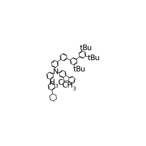 CC(C)(C)c1cc(-c2cccc(-c3cccc(N(c4cccc(-c5ccc(C6CCCCC6)cc5)c4)c4ccc5c(c4)C(C)(C)c4ccccc4-5)c3)c2)cc(-c2cc(C(C)(C)C)cc(C(C)(C)C)c2)c1